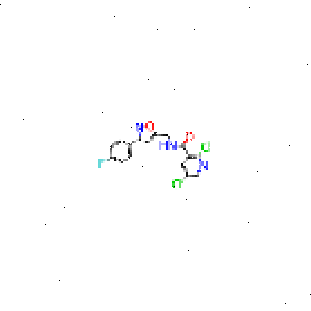 O=C(NCc1cc(-c2ccc(F)cc2)no1)c1cc(Cl)cnc1Cl